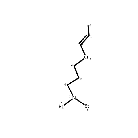 CC=COCCCN(CC)CC